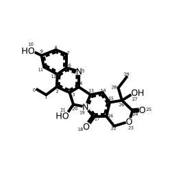 CCc1c2c(nc3ccc(O)cc13)-c1cc3c(c(=O)n1C2O)COC(=O)C3(O)CC